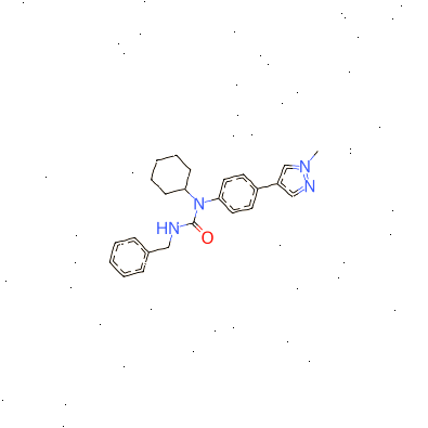 Cn1cc(-c2ccc(N(C(=O)NCc3ccccc3)C3CCCCC3)cc2)cn1